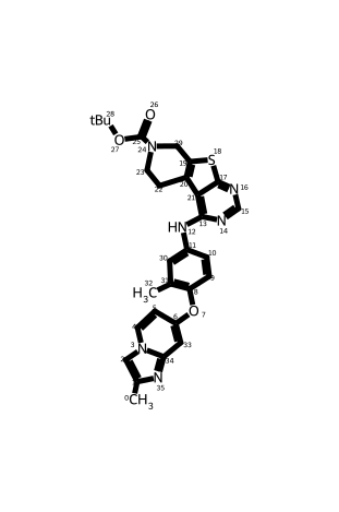 Cc1cn2ccc(Oc3ccc(Nc4ncnc5sc6c(c45)CCN(C(=O)OC(C)(C)C)C6)cc3C)cc2n1